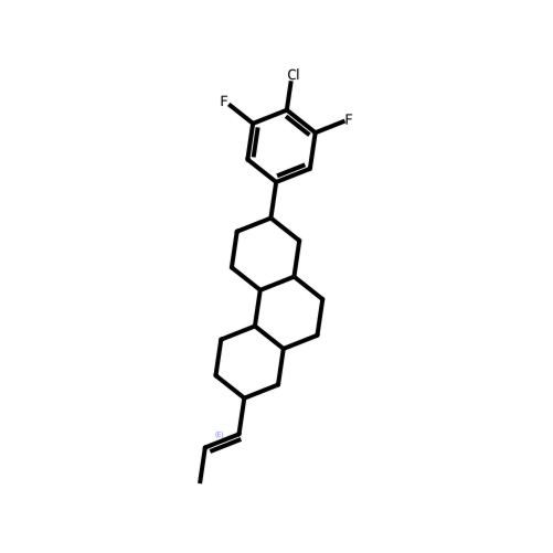 C/C=C/C1CCC2C(CCC3CC(c4cc(F)c(Cl)c(F)c4)CCC32)C1